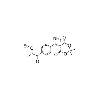 CCOC(C)C(=O)c1ccc(C(N)=C2C(=O)OC(C)(C)OC2=O)cc1